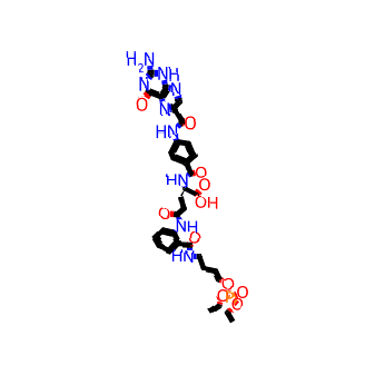 CCOP(=O)(OCC)OCCCCNC(=O)c1ccccc1NC(=O)CC[C@H](NC(=O)c1ccc(NC(=O)c2cnc3[nH]c(N)nc(=O)c3n2)cc1)C(=O)O